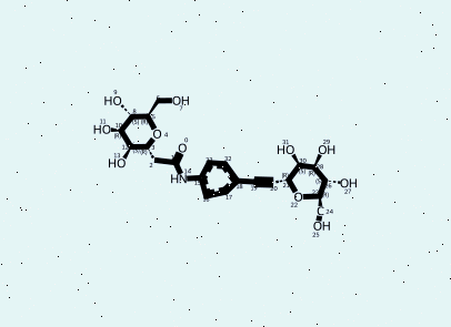 O=C(C[C@H]1O[C@H](CO)[C@@H](O)[C@H](O)[C@@H]1O)Nc1ccc(C#C[C@H]2O[C@H](CO)[C@@H](O)[C@H](O)[C@@H]2O)cc1